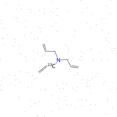 C=C[CH]N(CC=C)[13CH2]C=C